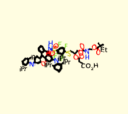 CCC(C)(C)C(=O)OCCNC(=O)OCC(CSc1c(F)c(F)c(S(=O)(=O)NC(=O)c2ccccc2-c2c3cc/c(=N\c4c(C(C)C)cccc4C(C)C)cc-3oc3cc(N(c4c(C(C)C)cccc4C(C)C)C(C)C)ccc23)c(F)c1F)OC(=O)CCC(=O)O